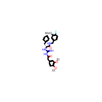 CCOc1ccc(CC(=O)NC(=N)N[C@H](Cc2ccccc2)C(=O)NCc2ccc(F)c(OC)c2)cc1OCC